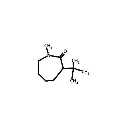 CN1CCCCC(C(C)(C)C)C1=O